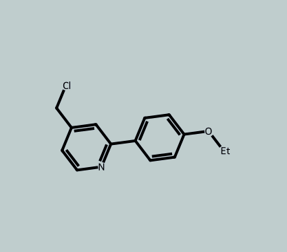 CCOc1ccc(-c2cc(CCl)ccn2)cc1